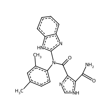 Cc1ccc(N(C(=O)c2nc[nH]c2C(N)=O)c2nc3ccccc3[nH]2)c(C)c1